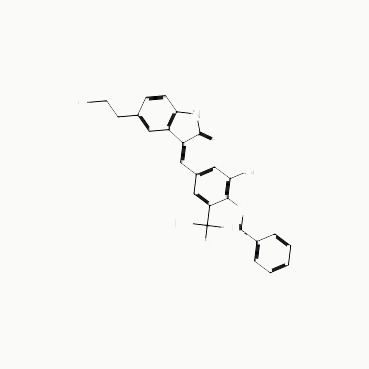 CC(C)(C)c1cc(C=C2C(=O)Nc3ccc(CCCl)cc32)cc(Br)c1OCc1ccccc1